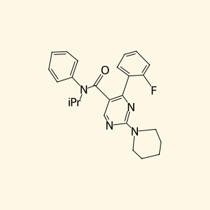 CC(C)N(C(=O)c1cnc(N2CCCCC2)nc1-c1ccccc1F)c1ccccc1